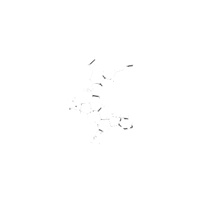 C=CCCNC(=O)C(=O)C(CCC=C)NC(=O)[C@@H]1C2C(CN1C(=O)C(NC(=O)OC(C)(C)C)C1Cc3ccccc3C1)C2(Cl)Cl